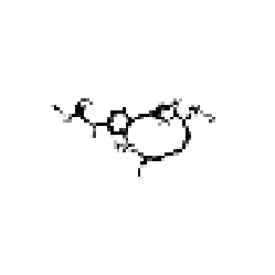 COC(=O)Nc1ccc2c(c1)NC(=O)CCCCC(N)c1nc-2c[nH]1